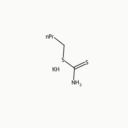 CCCCSC(N)=S.[KH]